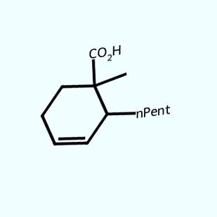 CCCCCC1C=CCCC1(C)C(=O)O